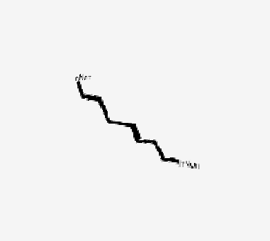 [CH2]CCCCCCCCCC/C=C/CCCCCCCCCCC[CH2]